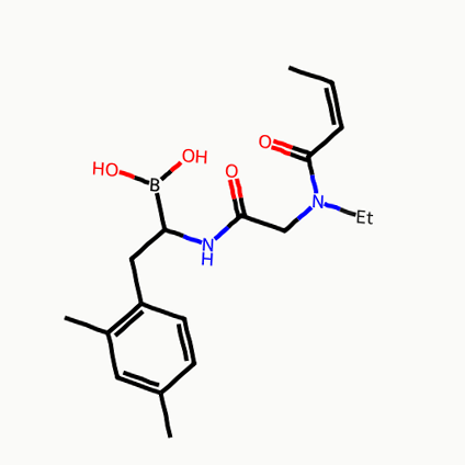 C/C=C\C(=O)N(CC)CC(=O)NC(Cc1ccc(C)cc1C)B(O)O